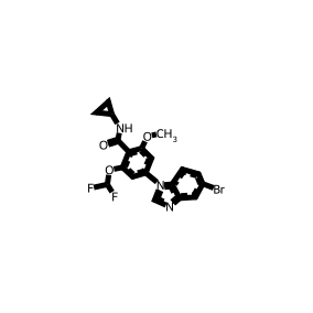 COc1cc(-n2cnc3cc(Br)ccc32)cc(OC(F)F)c1C(=O)NC1CC1